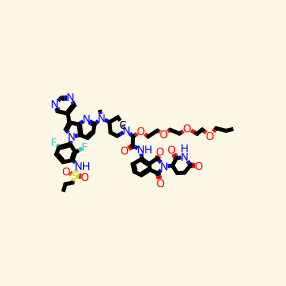 CCCOCCOCCOCCOC(C(=O)Nc1cccc2c1C(=O)N(C1CCC(=O)NC1=O)C2=O)N1CCC(N(C)c2ccc3c(n2)c(-c2cncnc2)cn3-c2c(F)ccc(NS(=O)(=O)CCC)c2F)CC1